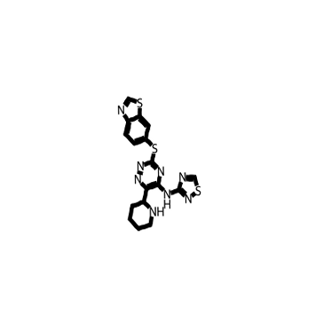 c1nc(Nc2nc(Sc3ccc4ncsc4c3)nnc2C2CCCCN2)ns1